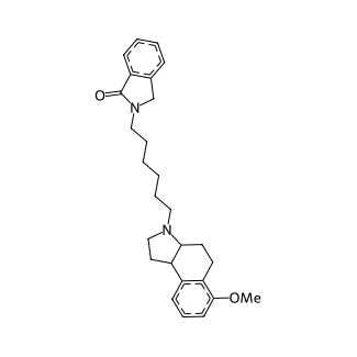 COc1cccc2c1CCC1C2CCN1CCCCCCN1Cc2ccccc2C1=O